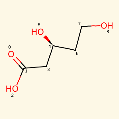 O=C(O)C[C@@H](O)CCO